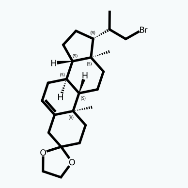 CC(CBr)[C@H]1CC[C@H]2[C@@H]3CC=C4CC5(CC[C@]4(C)[C@H]3CC[C@]12C)OCCO5